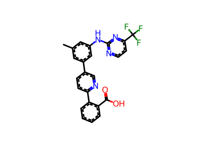 Cc1cc(Nc2nccc(C(F)(F)F)n2)cc(-c2ccc(-c3ccccc3C(=O)O)nc2)c1